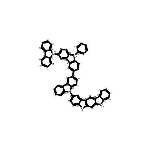 c1ccc(-n2c3ccc(-c4ccc5c(c4)c4ccccc4n5-c4ccc5oc6cc7oc8ccccc8c7cc6c5c4)cc3c3cc(-n4c5ccccc5c5ccccc54)ccc32)cc1